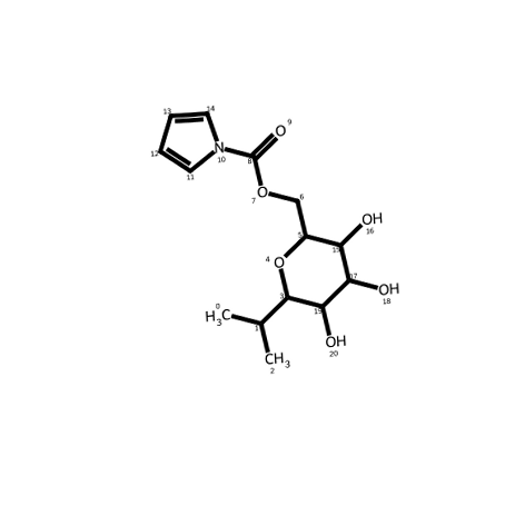 CC(C)C1OC(COC(=O)n2cccc2)C(O)C(O)C1O